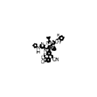 N#CCCc1cc2c(nc(-c3cncc(NC4CCCC4)c3)c3cc(C4CC(OCc5c(F)cccc5F)CN4C(=O)C4CC4)n(C4C5CNC4C5)c32)c(F)c1-c1cccc(Cl)c1Cl